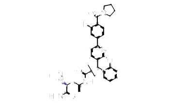 C=C(NC(=O)C(C)(C)[C@H]1c2ccccc2Oc2nc(-c3ccc(C(=O)N4CCCC4)c(F)c3)ccc21)S/C(=N\N)C(N)=O